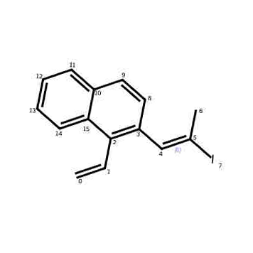 C=Cc1c(/C=C(\C)I)ccc2ccccc12